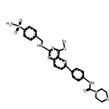 CCOc1nc(NCc2ccc(S(N)(=O)=O)cc2)nc2ccc(-c3ccc(NC(=O)N4CCOCC4)cc3)nc12